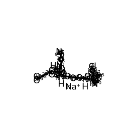 Cc1ncsc1-c1ccc(CNC(=O)[C@@H]2C[C@@H](OC(=O)CCCCCCC(=O)[O-])CN2C(=O)[C@@H](NC(=O)COCCOCCOCCNC(=O)C[C@@H]2N=C(c3ccc(Cl)cc3)c3c(sc(C)c3C)-n3c(C)nnc32)C(C)(C)C)cc1.[Na+]